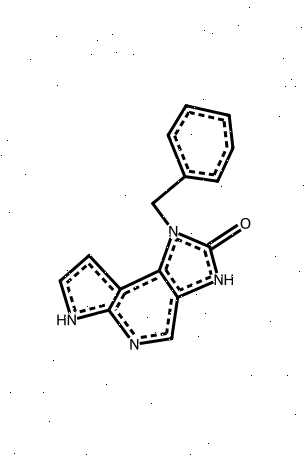 O=c1[nH]c2cnc3[nH]ccc3c2n1Cc1ccccc1